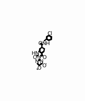 COc1cnc(-n2c(=O)[nH]c3c(c2=O)=CCC(C(=O)NCc2cccc(Cl)c2)C=3)nc1OC